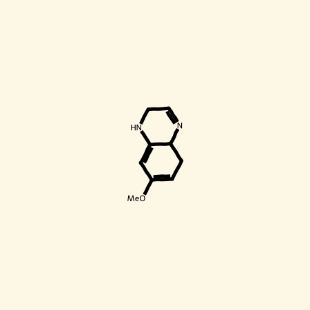 COC1=CCC2N=CCNC2=C1